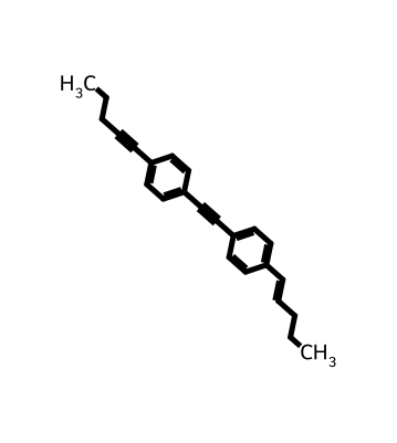 CCCC#Cc1ccc(C#Cc2ccc(C=CCCC)cc2)cc1